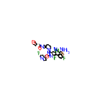 N#Cc1c(N)sc2c(F)ccc(-c3c(Cl)cc4c(N5CCCCC6(CN(C(=O)C[C@@H]7CCOC7)C6)C5)nc(OC[C@@]56CCCN5C[C@H](F)C6)nc4c3F)c12